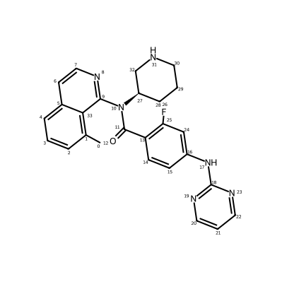 Cc1cccc2ccnc(N(C(=O)c3ccc(Nc4ncccn4)cc3F)[C@@H]3CCCNC3)c12